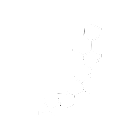 CCS(=O)(=O)N1CCC(N(C)C(=O)Nc2cnc(-c3cccc(F)c3)c(Cl)c2)CC1